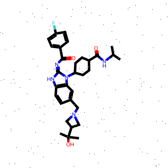 CC(C)NC(=O)C1CCC(n2/c(=N\C(=O)c3ccc(F)cc3)[nH]c3ccc(CN4CC(C(C)(C)O)C4)cc32)CC1